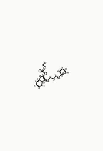 CCOC(=O)Oc1sc2ccccc2c1OCCCOc1ccccc1